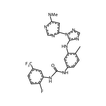 CNc1cc(-n2ncnc2Nc2cc(NC(=O)Nc3cc(C(F)(F)F)ccc3F)ccc2C)ncn1